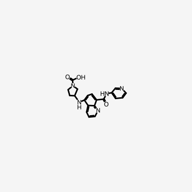 O=C(Nc1cccnc1)c1ccc(NC2CCN(C(=O)O)C2)c2cccnc12